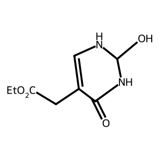 CCOC(=O)CC1=CNC(O)NC1=O